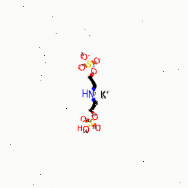 O=S(=O)([O-])OCCNCCOS(=O)(=O)O.[K+]